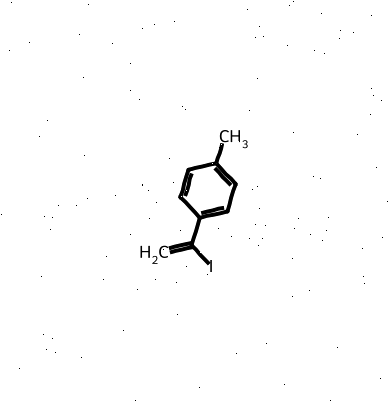 C=C(I)c1ccc(C)cc1